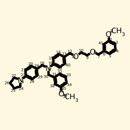 COc1cccc(COCCOCc2ccc(N(Cc3ccc(N4CCCC4)cc3)Cc3cccc(OC)c3)cc2)c1